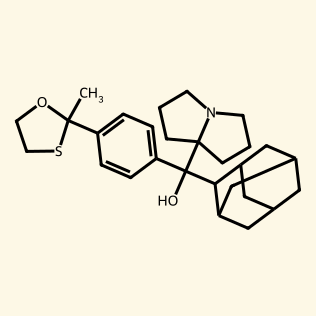 CC1(c2ccc(C(O)(C3C4CC5CC(C4)CC3C5)C34CCCN3CCC4)cc2)OCCS1